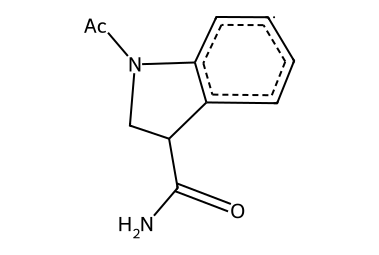 CC(=O)N1CC(C(N)=O)c2cc[c]cc21